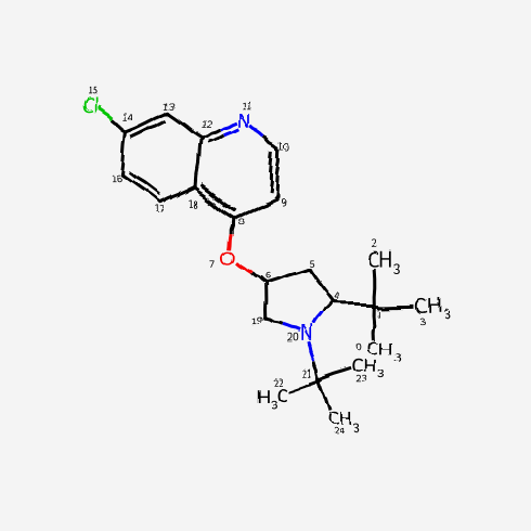 CC(C)(C)C1CC(Oc2ccnc3cc(Cl)ccc23)CN1C(C)(C)C